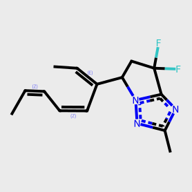 C\C=C/C=C\C(=C/C)C1CC(F)(F)c2nc(C)nn21